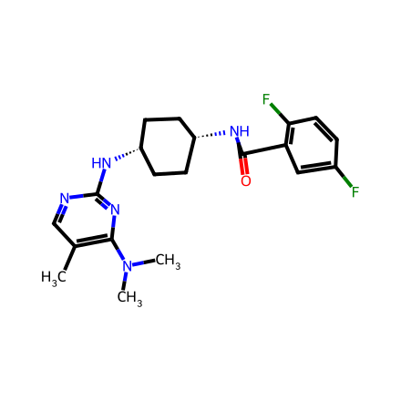 Cc1cnc(N[C@H]2CC[C@@H](NC(=O)c3cc(F)ccc3F)CC2)nc1N(C)C